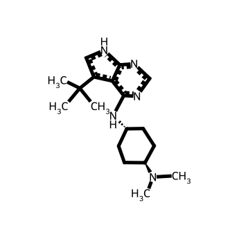 CN(C)[C@H]1CC[C@H](Nc2ncnc3[nH]cc(C(C)(C)C)c23)CC1